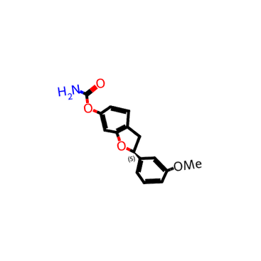 COc1cccc([C@@H]2Cc3ccc(OC(N)=O)cc3O2)c1